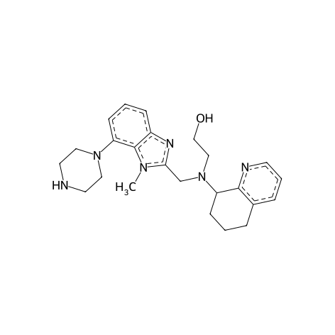 Cn1c(CN(CCO)C2CCCc3cccnc32)nc2cccc(N3CCNCC3)c21